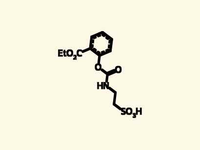 CCOC(=O)c1ccccc1OC(=O)NCCS(=O)(=O)O